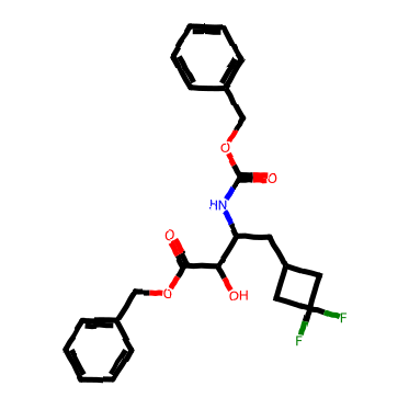 O=C(NC(CC1CC(F)(F)C1)C(O)C(=O)OCc1ccccc1)OCc1ccccc1